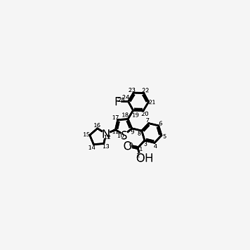 O=C(O)c1ccccc1-c1sc(N2CCCC2)cc1-c1ccccc1F